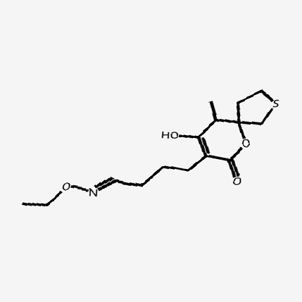 CCON=CCCCC1=C(O)C(C)C2(CCSC2)OC1=O